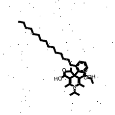 CCCCCCCCCCCCCCCc1cccc(OCC)c1C1(C(C)C)C(C(=O)O)=C(C)N(C(C)C)C(C)=C1C(=O)O